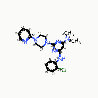 CN(C)c1cc(Nc2ccccc2Cl)nc(N2CCN(c3ccccn3)CC2)n1